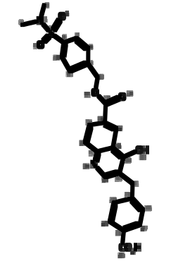 CN(C)S(=O)(=O)c1ccc(COC(=O)c2ccc3ncc(Cc4ccc(C(=O)O)cc4)c(O)c3c2)cc1